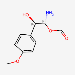 COc1ccc([C@@H](O)[C@H](N)OC=O)cc1